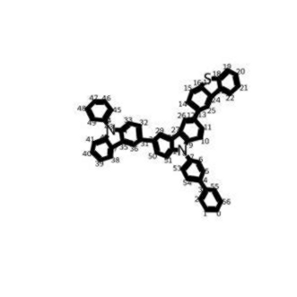 c1ccc(-c2ccc(-n3c4ccc(-c5ccc6sc7ccccc7c6c5)cc4c4cc(-c5ccc6c(c5)c5ccccc5n6-c5ccccc5)ccc43)cc2)cc1